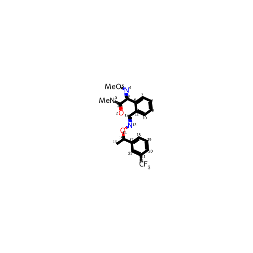 CNC(=O)/C(=N\OC)c1ccccc1/C=N/OC(C)c1cccc(C(F)(F)F)c1